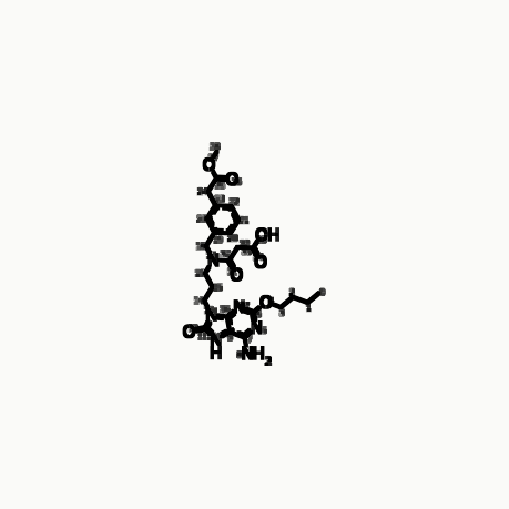 CCCCOc1nc(N)c2[nH]c(=O)n(CCCN(Cc3cccc(CC(=O)OC)c3)C(=O)CC(=O)O)c2n1